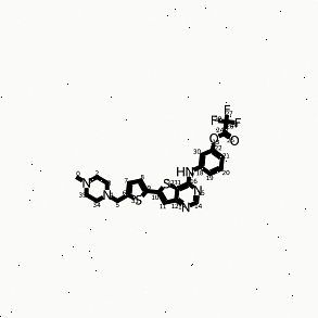 CN1CCN(Cc2ccc(-c3cc4ncnc(Nc5cccc(OC(=O)C(F)(F)F)c5)c4s3)s2)CC1